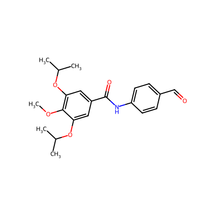 COc1c(OC(C)C)cc(C(=O)Nc2ccc(C=O)cc2)cc1OC(C)C